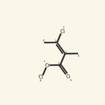 CC(Cl)=C(C)C(=O)OCl